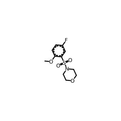 COc1ccc(F)cc1S(=O)(=O)N1CCOCC1